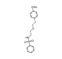 COc1ccc(CCOCCNS(=O)(=O)c2ccccc2)cc1